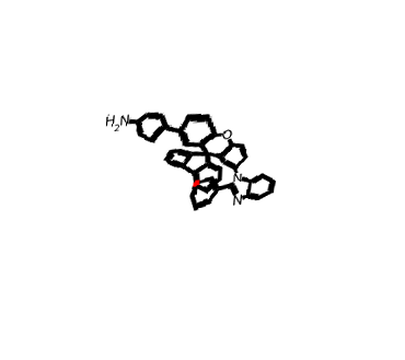 Nc1ccc(-c2ccc3c(c2)C2(c4cc(-n5c(-c6ccccc6)nc6ccccc65)ccc4O3)c3ccccc3-c3ccccc32)cc1